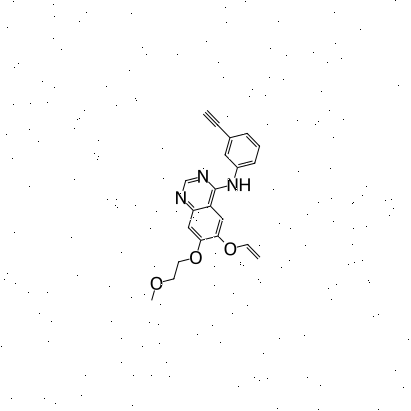 C#Cc1cccc(Nc2ncnc3cc(OCCOC)c(OC=C)cc23)c1